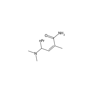 CCCC(C=C(C)C(N)=O)N(C)C